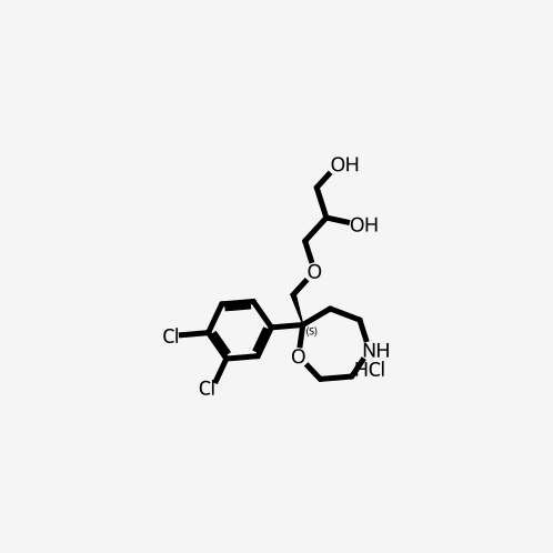 Cl.OCC(O)COC[C@@]1(c2ccc(Cl)c(Cl)c2)CCNCCO1